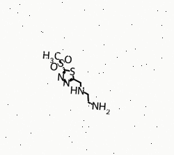 CS(=O)(=O)c1nnc(CNCCN)s1